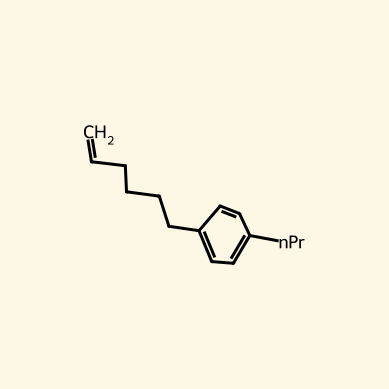 C=CCCCCc1ccc(CCC)cc1